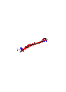 COC(=O)NCCOCCOCCOCCOCCOCCOCCOCCOCCOCCC(=O)NCCN1C(=O)C=CC1=O